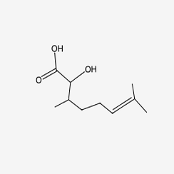 CC(C)=CCCC(C)C(O)C(=O)O